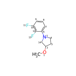 COC1CCN(c2cccc(F)c2F)C1